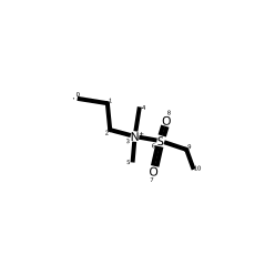 [CH2]CC[N+](C)(C)S(=O)(=O)CC